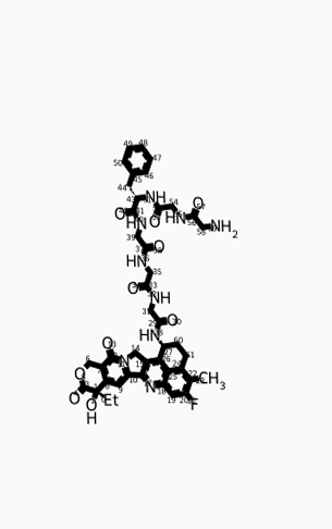 CC[C@@]1(O)C(=O)OCc2c1cc1n(c2=O)Cc2c-1nc1cc(F)c(C)c3c1c2[C@@H](NC(=O)CNC(=O)CNC(=O)CNC(=O)[C@H](Cc1ccccc1)NC(=O)CNC(=O)CN)CC3